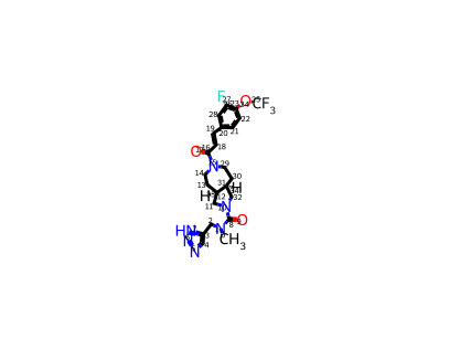 CN(Cc1cnn[nH]1)C(=O)N1C[C@H]2CCN(C(=O)/C=C/c3ccc(OC(F)(F)F)c(F)c3)CC[C@H]2C1